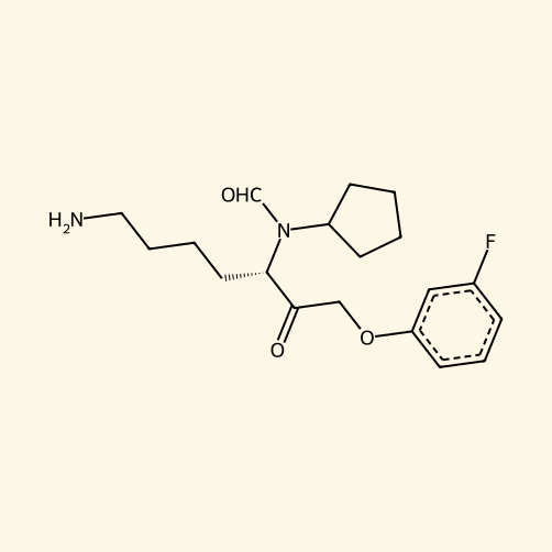 NCCCC[C@@H](C(=O)COc1cccc(F)c1)N(C=O)C1CCCC1